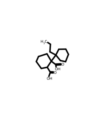 CCCC1(C2(C(=O)O)CCCCC2C(=O)O)CCCCC1